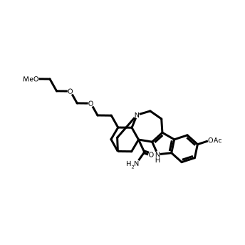 COCCOCOCCC1CC2CN3CCc4c([nH]c5ccc(OC(C)=O)cc45)C(C(N)=O)(C2)C13